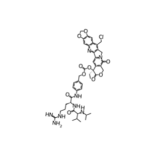 CC[C@@]1(OC(=O)OCc2ccc(NC(=O)[C@H](CCCNC(=N)N)NC(=O)[C@@H](NC(C)C)C(C)C)cc2)C(=O)OCc2c1cc1n(c2=O)Cc2c-1nc1cc3c(cc1c2CCl)OCO3